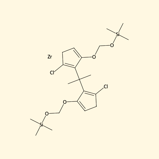 CC(C)(C1=C(Cl)CC=C1OCO[Si](C)(C)C)C1=C(Cl)CC=C1OCO[Si](C)(C)C.[Zr]